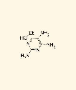 CCO.Nc1ncc(N)c(N)n1